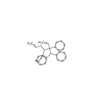 C=CCC(c1ccccc1)C(C=C)(c1ccccc1)C(CC=C)c1ccccc1